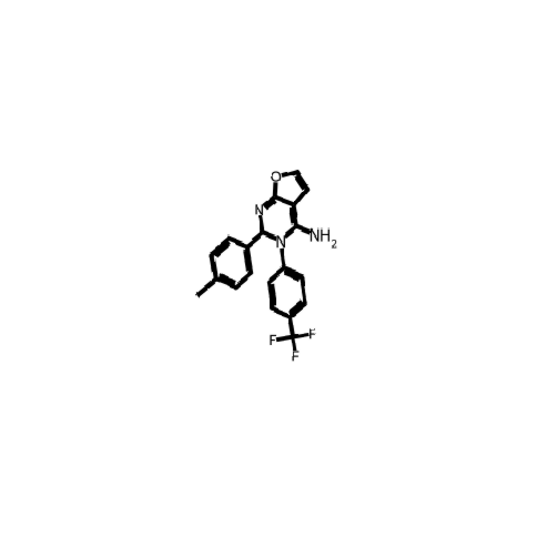 Cc1ccc(C2N=c3occc3=C(N)N2c2ccc(C(F)(F)F)cc2)cc1